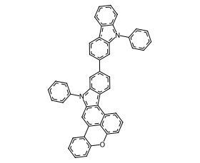 c1ccc(-n2c3ccccc3c3ccc(-c4ccc5c6c7cccc8c7c(cc6n(-c6ccccc6)c5c4)-c4ccccc4O8)cc32)cc1